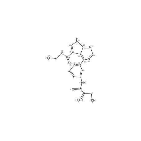 C=C(CO)C(=O)Nc1cccc(-c2ncnc3[nH]cc(C(=O)OCC)c23)c1